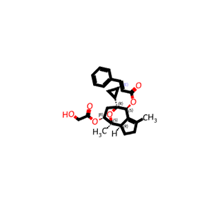 CC1=C2[C@@H](CC1)[C@]1(C)O[C@@](C3CC3)(C[C@H]1OC(=O)CO)[C@H]2OC(=O)/C=C/c1ccccc1